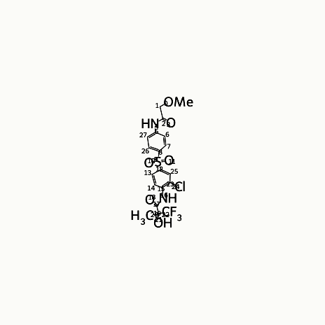 COCC(=O)Nc1ccc(S(=O)(=O)c2ccc(NC(=O)C(C)(O)C(F)(F)F)c(Cl)c2)cc1